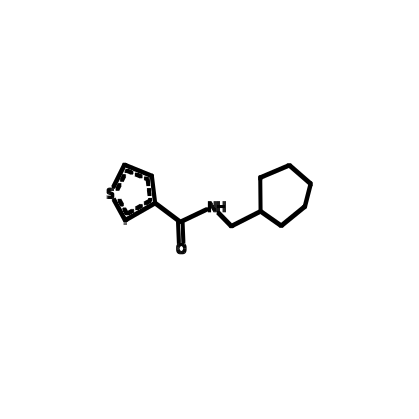 O=C(NCC1CCCCC1)c1[c]scc1